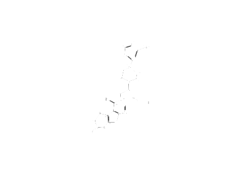 CC(C)c1cc(N2CCN(CCn3cnc4sc5c(c4c3=N)CCN(C)C5)CC2)ncn1.Cl.Cl.Cl